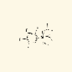 CO[Si](OC)(OC(C)C)c1cc(F)c(F)c(F)c1F